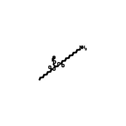 CCCCCCCC(=O)O[C@@H](COP=O)COC(=O)CCCCCCCCCCN